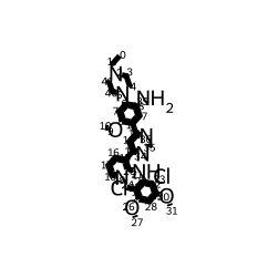 CCN1CCN(c2cc(OC)c(-c3cc(-c4cccnc4Nc4c(Cl)c(OC)cc(OC)c4Cl)ncn3)cc2N)CC1